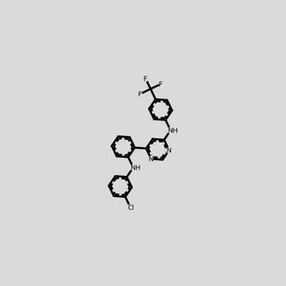 FC(F)(F)c1ccc(Nc2cc(-c3ccccc3Nc3cccc(Cl)c3)ncn2)cc1